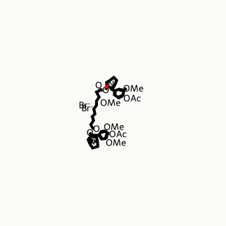 COc1cc(C[N+]2(C)C3CCC2CC(OC(=O)CCCCCCCCCC(=O)OC2CC4CCC(C2)[N+]4(C)Cc2cc(OC)c(OC(C)=O)c(OC)c2)C3)cc(OC)c1OC(C)=O.[Br-].[Br-]